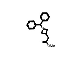 COC(=O)CC1CN(C(c2ccccc2)c2ccccc2)C1